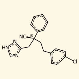 N#C[C@@](CCc1ccc(Cl)cc1)(Cc1nc[nH]n1)c1ccccc1